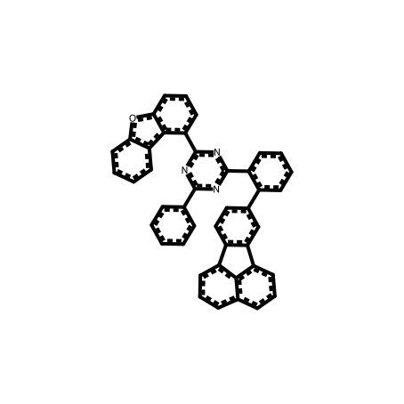 c1ccc(-c2nc(-c3ccccc3-c3ccc4c(c3)-c3cccc5cccc-4c35)nc(-c3cccc4oc5ccccc5c34)n2)cc1